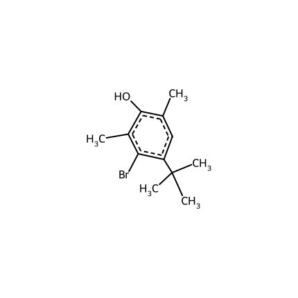 Cc1cc(C(C)(C)C)c(Br)c(C)c1O